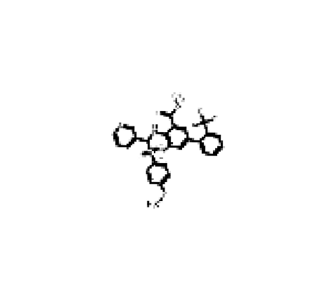 COC(=O)c1cc(-c2ccccc2C(F)(F)F)cc(C)c1NC(c1cccnc1)S(=O)(=O)c1ccc(OC)cc1